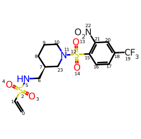 C=CS(=O)(=O)NC[C@H]1CCCN(S(=O)(=O)c2ccc(C(F)(F)F)cc2[N+](=O)[O-])C1